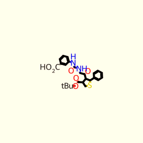 CC(C)(C)OC(=O)C1CSC(c2ccccc2)C1C(=O)CNC(=O)Nc1cccc(C(=O)O)c1